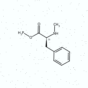 CN[C@@H](Cc1ccccc1)C(=O)OP